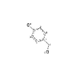 [O]c1ccc(CCl)cc1